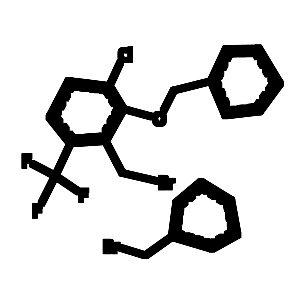 BrCc1ccccc1.FC(F)(F)c1ccc(Cl)c(OCc2ccccc2)c1CBr